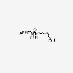 CCCCCNC(=O)NCCCC/C=C\CCO